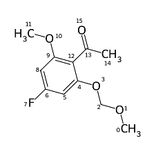 COCOc1cc(F)cc(OC)c1C(C)=O